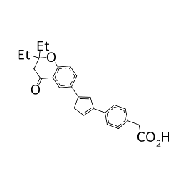 CCC1(CC)CC(=O)c2cc(C3=CC(c4ccc(CC(=O)O)cc4)=CC3)ccc2O1